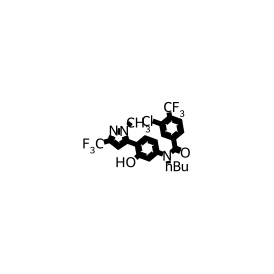 CCCCN(C(=O)c1ccc(C(F)(F)F)c(Cl)c1)c1ccc(-c2cc(C(F)(F)F)nn2C)c(O)c1